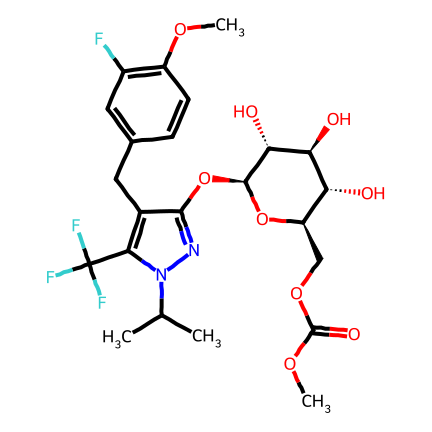 COC(=O)OC[C@H]1O[C@@H](Oc2nn(C(C)C)c(C(F)(F)F)c2Cc2ccc(OC)c(F)c2)[C@H](O)[C@@H](O)[C@@H]1O